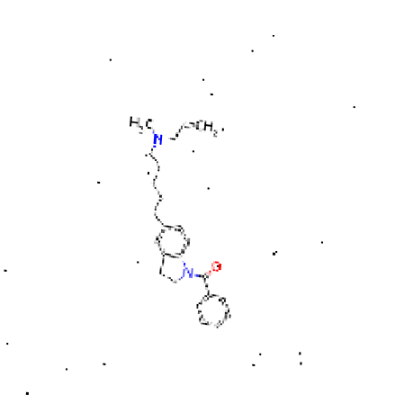 C=CCN(C)CCCCCc1ccc2c(c1)CCN2C(=O)c1ccccc1